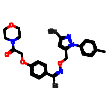 CC/C(=N/OCc1cc(C(C)(C)C)nn1-c1ccc(C)cc1)c1ccc(OCC(=O)N2CCOCC2)cc1